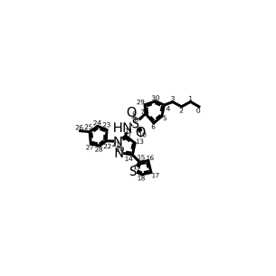 CCCCc1ccc(S(=O)(=O)Nc2cc(-c3cccs3)nn2-c2ccc(C)cc2)cc1